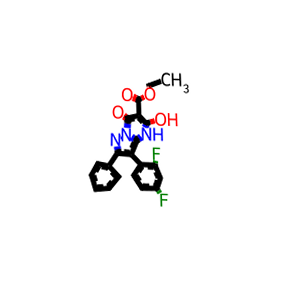 CCOC(=O)c1c(O)[nH]c2c(-c3ccc(F)cc3F)c(-c3ccccc3)nn2c1=O